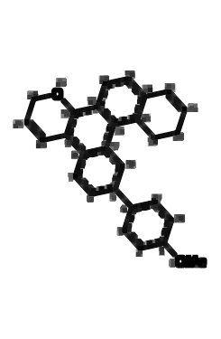 COc1ccc(-c2ccc3c4c(c5ccc6c(c5c3c2)CCC=C6)OCC=C4)cc1